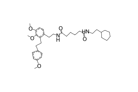 COc1ccc(CCc2c(CCNC(=O)CCCCC(=O)NCCC3CCCCC3)ccc(OC)c2OC)cc1